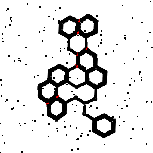 c1cncc(OP(Oc2cccnc2)Oc2ccc3ccccc3c2Sc2c(OP(Oc3cccnc3)Oc3cccnc3)ccc3ccccc23)c1